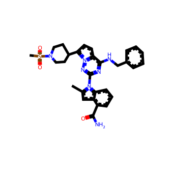 Cc1cc2c(C(N)=O)cccc2n1-c1nc(NCc2ccccc2)c2ccc(C3CCN(S(C)(=O)=O)CC3)n2n1